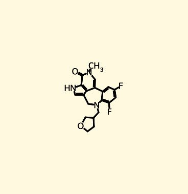 Cn1cc2c3c(c[nH]c3c1=O)CN(CC1CCOC1)c1c(F)cc(F)cc1-2